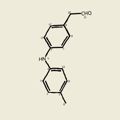 Cc1ccc(Nc2ccc(CC=O)cc2)cc1